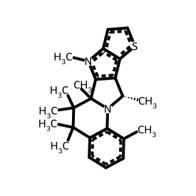 Cc1cccc2c1N1[C@@H](C)c3c(n(C)c4ccsc34)C1(C)C(C)(C)C2(C)C